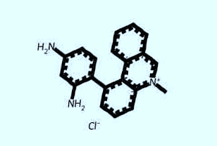 C[n+]1cc2ccccc2c2c(-c3ccc(N)cc3N)cccc21.[Cl-]